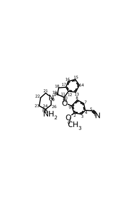 COc1cc(C#N)ccc1O[C@@H]1c2ccccc2C[C@H]1N1CCC[C@@H](N)C1